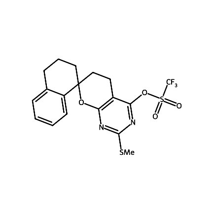 CSc1nc2c(c(OS(=O)(=O)C(F)(F)F)n1)CCC1(CCCc3ccccc31)O2